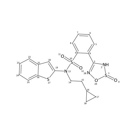 O=S1NC(c2ccccc2S(=O)(=O)N(CCC2CC2)c2cc3ccccc3s2)=NO1